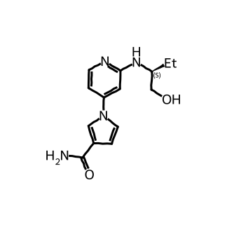 CC[C@@H](CO)Nc1cc(-n2ccc(C(N)=O)c2)ccn1